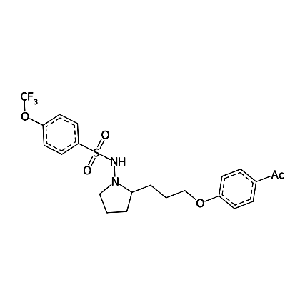 CC(=O)c1ccc(OCCCC2CCCN2NS(=O)(=O)c2ccc(OC(F)(F)F)cc2)cc1